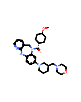 CO[C@H]1CC[C@H](C(=O)N2Cc3cccnc3Nc3ccc(N4CCCC(CN5CCOCC5)C4)cc32)CC1